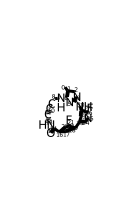 Cc1cnc2nc1NCCCCCNC(=O)c1ccc(c(F)c1)-c1cnc(F)c(c1)N2